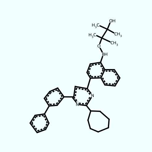 CC(C)(O)C(C)(C)OBc1ccc(-c2cc(-c3cccc(-c4ccccc4)c3)nc(C3CCCCCC3)n2)c2ccccc12